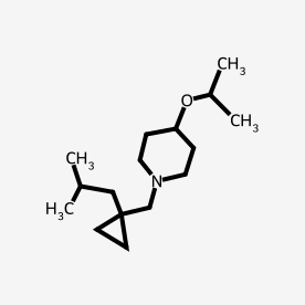 CC(C)CC1(CN2CCC(OC(C)C)CC2)CC1